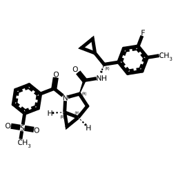 Cc1ccc([C@H](NC(=O)[C@H]2C[C@H]3C[C@H]3N2C(=O)c2cccc(S(C)(=O)=O)c2)C2CC2)cc1F